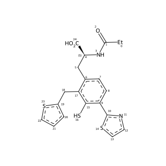 CCC(=O)N[C@@H](Cc1ccc(-c2nccs2)c(S)c1Cc1cccs1)C(=O)O